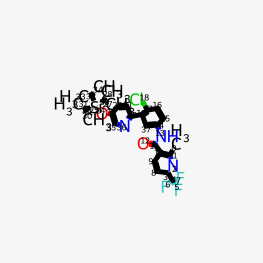 Cc1nc(C(F)(F)F)ccc1C(=O)Nc1ccc(Cl)c(-c2ccc(O[Si](C(C)C)(C(C)C)C(C)C)cn2)c1